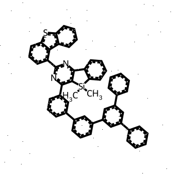 C[Si]1(C)c2ccccc2-c2nc(-c3cccc4sc5ccccc5c34)nc(-c3cccc(-c4cccc(-c5cc(-c6ccccc6)cc(-c6ccccc6)c5)c4)c3)c21